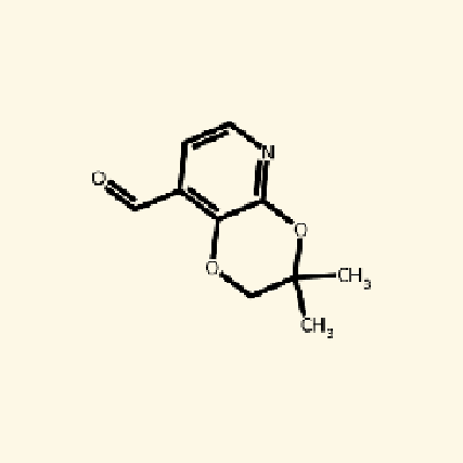 CC1(C)COc2c(C=O)ccnc2O1